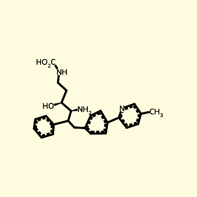 Cc1ccc(-c2ccc(CC(c3ccccc3)[C@H](N)[C@@H](O)CCNC(=O)O)cc2)nc1